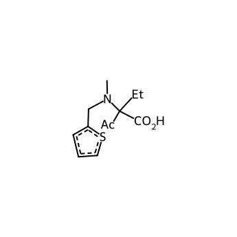 CCC(C(C)=O)(C(=O)O)N(C)Cc1cccs1